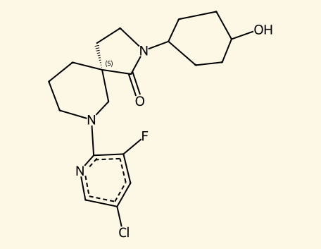 O=C1N(C2CCC(O)CC2)CC[C@]12CCCN(c1ncc(Cl)cc1F)C2